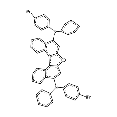 CC(C)c1ccc(N(c2ccccc2)c2cc3oc4cc(N(c5ccccc5)c5ccc(C(C)C)cc5)c5ccccc5c4c3c3ccccc23)cc1